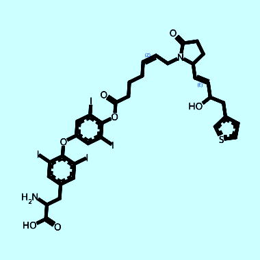 NC(Cc1cc(I)c(Oc2cc(I)c(OC(=O)CCC/C=C\CN3C(=O)CCC3/C=C/C(O)Cc3ccsc3)c(I)c2)c(I)c1)C(=O)O